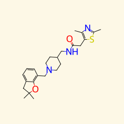 Cc1nc(C)c(CC(=O)NCC2CCN(Cc3cccc4c3OC(C)(C)C4)CC2)s1